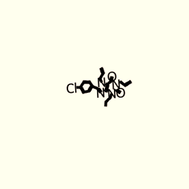 C=CCn1c(=O)c2c(nc(-c3ccc(Cl)cc3)n2CC=C)n(CCC)c1=O